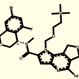 CN(C(=O)c1cc2nc(N)c3c(c2n1COCC[Si](C)(C)C)COC3)[C@@H]1COCc2cc(Br)cc(F)c21